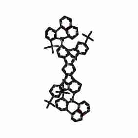 CC(C)(C)c1ccc2c(c1)c1c(N(c3ccccc3)c3c(-c4ccccc4)cccc3C(C)(C)C)ccc3c4cc5c(cc4n2c31)c1ccc(N(c2ccccc2)c2c(-c3ccccc3)cccc2C(C)(C)C)c2c3cc(C(C)(C)C)ccc3n5c12